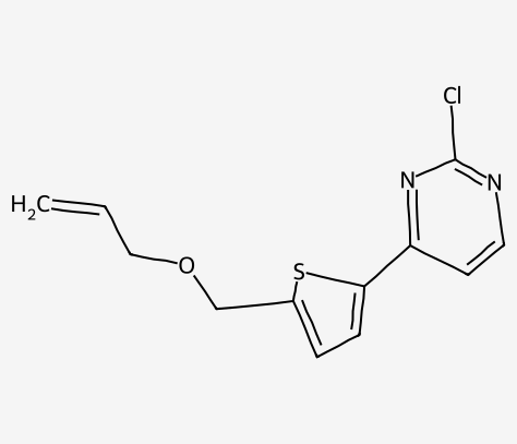 C=CCOCc1ccc(-c2ccnc(Cl)n2)s1